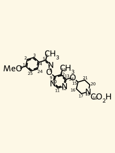 COc1ccc(/C(C)=N\Oc2ncnc(OC3CCN(C(=O)O)CC3)c2C)cc1